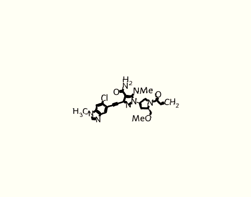 C=CC(=O)N1C[C@@H](n2nc(C#Cc3cc4ncn(C)c4cc3Cl)c(C(N)=O)c2NC)C[C@@H]1COC